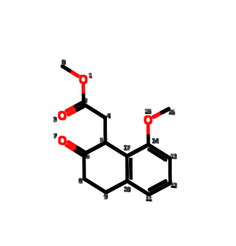 COC(=O)CC1C(=O)CCc2cccc(OC)c21